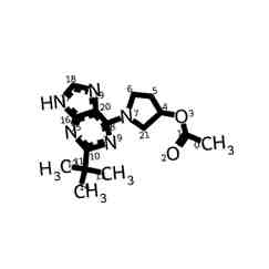 CC(=O)OC1CCN(c2nc(C(C)(C)C)nc3[nH]cnc23)C1